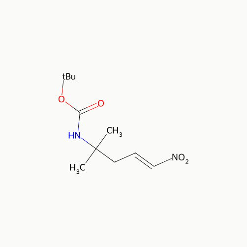 CC(C)(C/C=C/[N+](=O)[O-])NC(=O)OC(C)(C)C